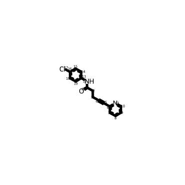 O=C(CCC#Cc1ccccn1)Nc1ccc(Cl)cc1